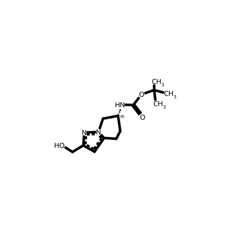 CC(C)(C)OC(=O)N[C@@H]1CCc2cc(CO)nn2C1